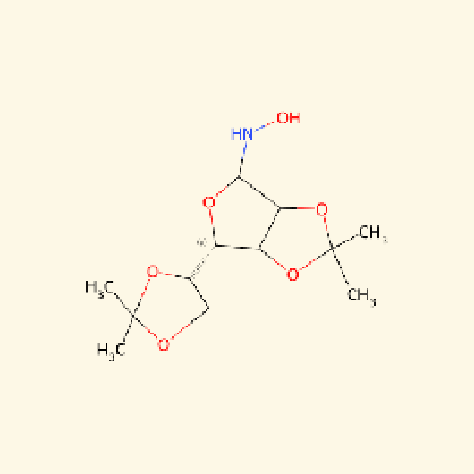 CC1(C)OCC([C@@H]2OC(NO)C3OC(C)(C)OC32)O1